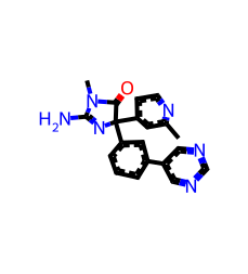 Cc1cc(C2(c3cccc(-c4cncnc4)c3)N=C(N)N(C)C2=O)ccn1